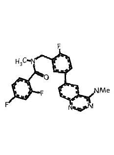 CNc1ncnc2ccc(-c3ccc(F)c(CN(C)C(=O)c4ccc(F)cc4F)c3)cc12